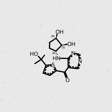 CC(C)(O)c1ccc(C(=O)c2cncnc2N[C@@H]2C[CH][C@@H](O)[C@H]2O)s1